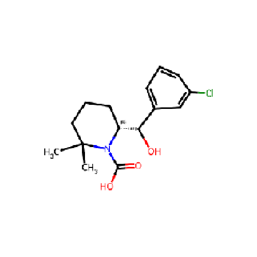 CC1(C)CCC[C@H](C(O)c2cccc(Cl)c2)N1C(=O)O